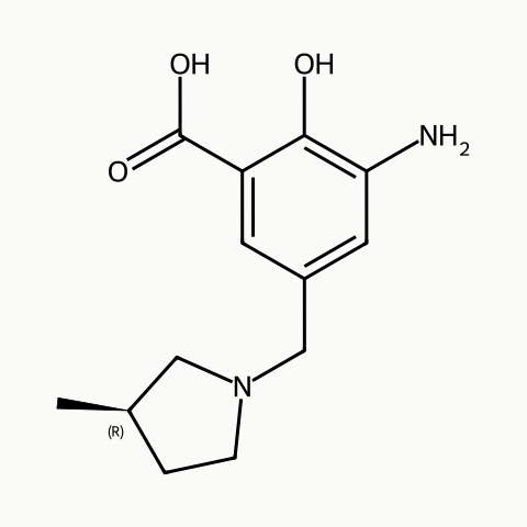 C[C@@H]1CCN(Cc2cc(N)c(O)c(C(=O)O)c2)C1